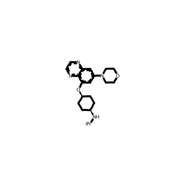 CC(C)N[C@H]1CC[C@@H](Oc2cc(N3CCOCC3)cc3nccnc23)CC1